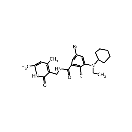 CCN(c1cc(Br)cc(C(=O)NCc2c(C)cc(C)[nH]c2=O)c1Cl)C1CCCCC1